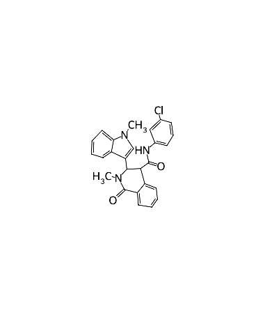 CN1C(=O)c2ccccc2C(C(=O)Nc2cccc(Cl)c2)C1c1cn(C)c2ccccc12